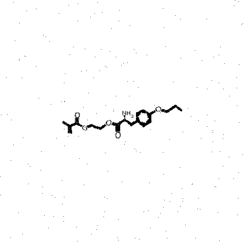 C=C(C)C(=O)OCCOC(=O)[C@@H](N)Cc1ccc(OCCC)cc1